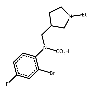 CCN1CCC(CN(C(=O)O)c2ccc(F)cc2Br)C1